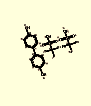 O=S(=O)(O)C(F)(F)F.O=S(=O)(O)C(F)(F)F.Oc1ccc(-c2ccc(O)cc2)cc1